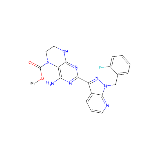 CC(C)OC(=O)N1CCNc2nc(-c3nn(Cc4ccccc4F)c4ncccc34)nc(N)c21